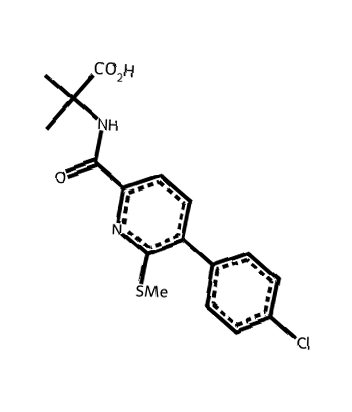 CSc1nc(C(=O)NC(C)(C)C(=O)O)ccc1-c1ccc(Cl)cc1